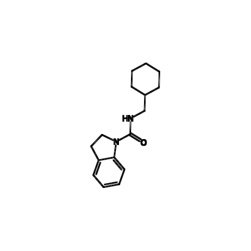 O=C(NCC1CCCCC1)N1CCc2ccccc21